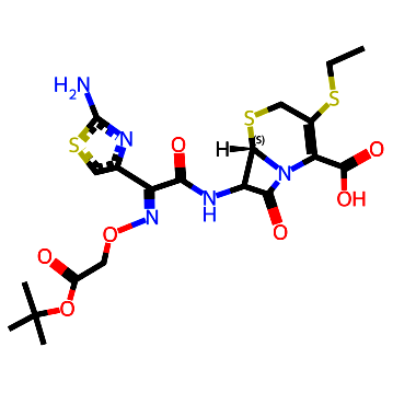 CCSC1=C(C(=O)O)N2C(=O)C(NC(=O)C(=NOCC(=O)OC(C)(C)C)c3csc(N)n3)[C@@H]2SC1